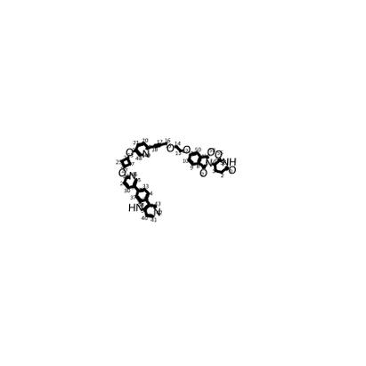 O=C1CCC(N2C(=O)c3ccc(OCCOCC#Cc4ccc(O[C@H]5C[C@H](Oc6ccc(-c7ccc8c(c7)[nH]c7ccncc78)cn6)C5)cn4)cc3C2=O)C(=O)N1